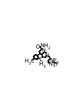 Cc1ccc(-c2cc(C(N)=O)nc3c2CCN(Cc2ccnc(C(F)(F)F)n2)C3)c(C)c1